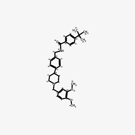 COc1ccc(CN2CCC(c3ccc(CNC(=O)c4ccc(C(C)(C)C)cc4)cc3)CC2)cc1OC